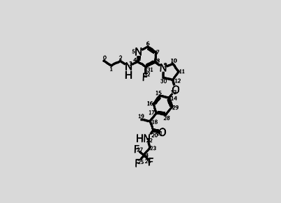 CCCNc1nccc(N2CCC(Oc3ccc(C(C)C(=O)NCC(F)(F)F)cc3)C2)c1F